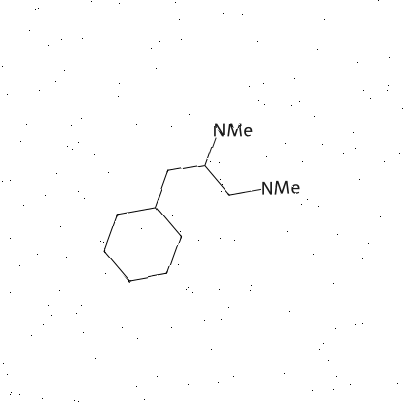 CNCC(CC1CCCCC1)NC